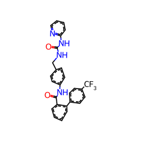 O=C(NCc1ccc(NC(=O)c2ccccc2-c2ccc(C(F)(F)F)cc2)cc1)Nc1ccccn1